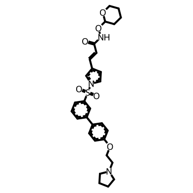 O=C(C=Cc1ccn(S(=O)(=O)c2cccc(-c3ccc(OCCN4CCCC4)cc3)c2)c1)NOC1CCCCO1